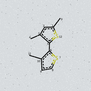 Cc1cc(C)c(-c2sccc2C)s1